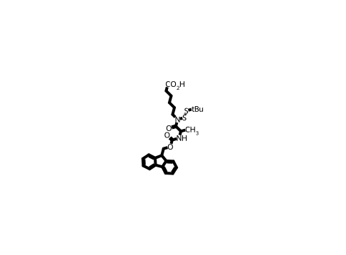 CC(NC(=O)OCC1c2ccccc2-c2ccccc21)C(=O)N(CCCCCC(=O)O)SSC(C)(C)C